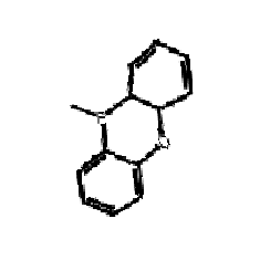 CP1c2ccccc2OC2C=CC=CC21